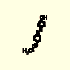 CSOOc1ccc(/N=N/c2ccc(O)cc2)cc1